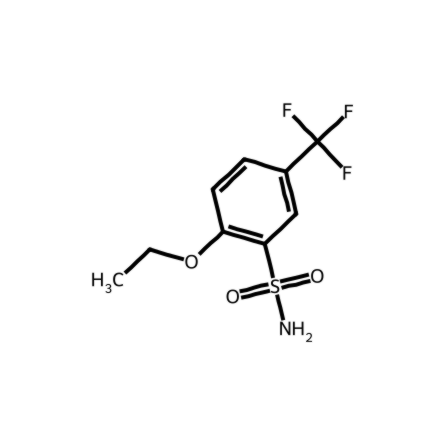 CCOc1ccc(C(F)(F)F)cc1S(N)(=O)=O